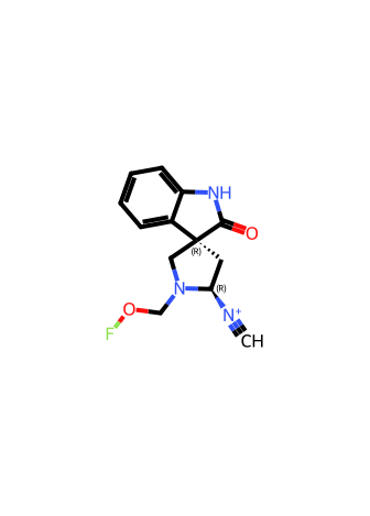 C#[N+][C@@H]1C[C@@]2(CN1COF)C(=O)Nc1ccccc12